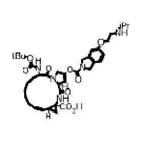 CC(C)NCCOc1ccc2c(c1)CN(C(=O)O[C@@H]1C[C@H]3C(=O)N[C@]4(C(=O)O)C[C@H]4/C=C\CCCCC[C@H](NC(=O)OC(C)(C)C)C(=O)N3C1)C2